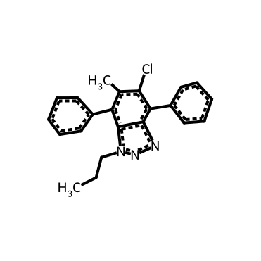 CCCn1nnc2c(-c3ccccc3)c(Cl)c(C)c(-c3ccccc3)c21